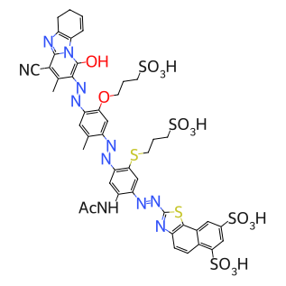 CC(=O)Nc1cc(N=Nc2cc(OCCCS(=O)(=O)O)c(N=Nc3c(C)c(C#N)c4nc5c(n4c3O)C=CCC5)cc2C)c(SCCCS(=O)(=O)O)cc1N=Nc1nc2ccc3c(S(=O)(=O)O)cc(S(=O)(=O)O)cc3c2s1